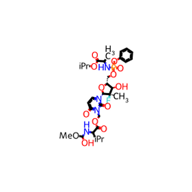 COC(O)NC(C(=O)OCn1c(=O)ccn([C@@H]2O[C@H](COP(=O)(NC(C)C(=O)OC(C)C)Oc3ccccc3)[C@@H](O)[C@@]2(C)F)c1=O)C(C)C